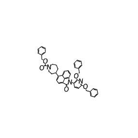 O=C(OCc1ccccc1)N1CCCC(c2ccc3c4c(cccc24)N(c2ccc(OCc4ccccc4)nc2OCc2ccccc2)C3=O)CC1